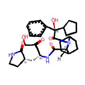 O=C1NCC[C@H]1C[C@@H](NC(=O)[C@H]1C2CCC(CC2)N1C(=O)[C@](O)(c1ccccc1)C1CCCC1)C(=O)CO